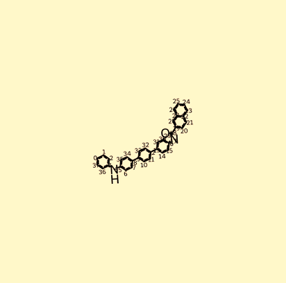 c1ccc(Nc2ccc(-c3ccc(-c4ccc5nc(-c6ccc7ccccc7c6)oc5c4)cc3)cc2)cc1